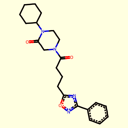 O=C(CCCc1nc(-c2ccccc2)no1)N1CCN(C2CCCCC2)C(=O)C1